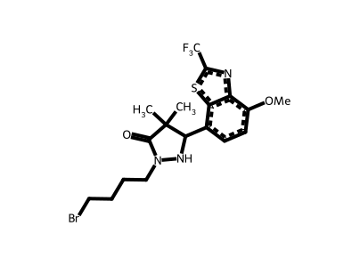 COc1ccc(C2NN(CCCCBr)C(=O)C2(C)C)c2sc(C(F)(F)F)nc12